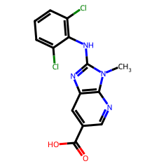 Cn1c(Nc2c(Cl)cccc2Cl)nc2cc(C(=O)O)cnc21